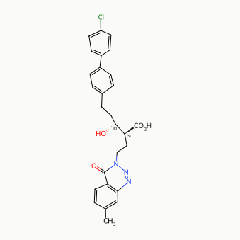 Cc1ccc2c(=O)n(CC[C@H](C(=O)O)[C@H](O)CCc3ccc(-c4ccc(Cl)cc4)cc3)nnc2c1